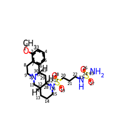 COc1cccc2c1CCN1C[C@H]3CCCN(S(=O)(=O)CCCNS(N)(=O)=O)[C@H]3C[C@@H]21